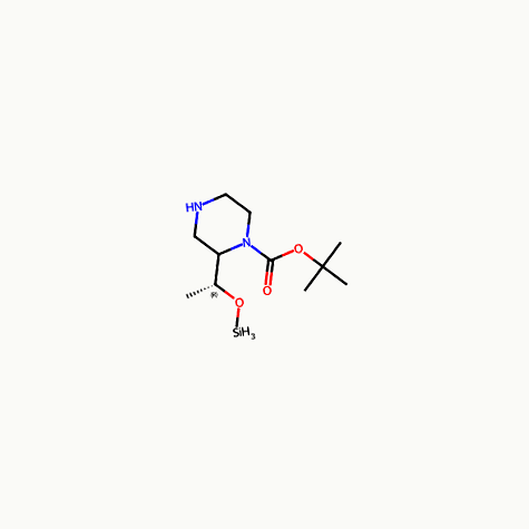 C[C@@H](O[SiH3])C1CNCCN1C(=O)OC(C)(C)C